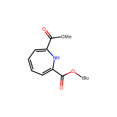 COC(=O)C1=CC=CC=C(C(=O)OC(C)(C)C)N1